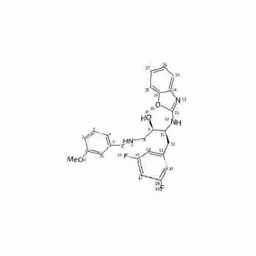 COc1cccc(CNC[C@@H](O)[C@H](Cc2cc(F)cc(F)c2)Nc2nc3ccccc3o2)c1